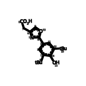 CC(C)(C)c1cc(-c2nc(CC(=O)O)co2)cc(C(C)(C)C)c1O